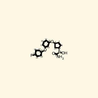 NC(=O)N(O)[C@@H]1C=CC(Oc2cccc(Oc3ccc(F)cc3)c2)C1